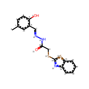 Cc1ccc(O)c(/C=N/NC(=O)CSc2nc3ccccc3s2)c1